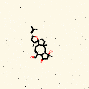 CC(C)=C[C@H]1C[C@H](C)[C@]2(CCC3(C)CC4C(C(=O)C[C@@]4(C)O)/C(C=O)=C\CC32)O1